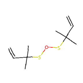 C=CC(C)(C)SOSC(C)(C)C=C